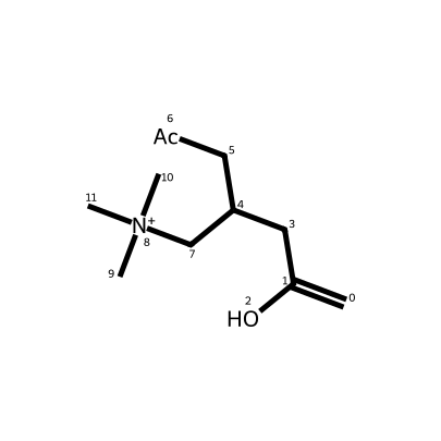 C=C(O)CC(CC(C)=O)C[N+](C)(C)C